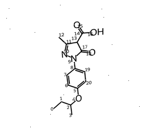 CCC(C)Oc1ccc(N2N=C(C)C(C(=O)O)C2=O)cc1